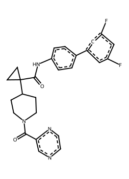 O=C(c1cnccn1)N1CCC(C2(C(=O)Nc3ccc(-c4cc(F)cc(F)c4)cc3)CC2)CC1